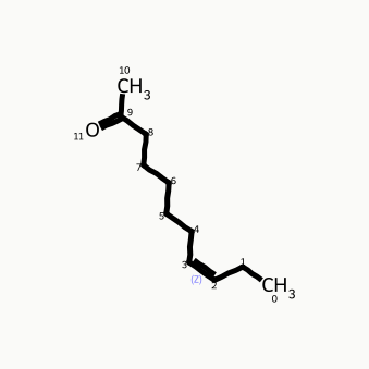 CC/C=C\CCCCCC(C)=O